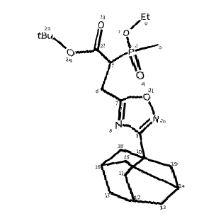 CCOP(C)(=O)C(Cc1nc(C23CC4CC(CC(C4)C2)C3)no1)C(=O)OC(C)(C)C